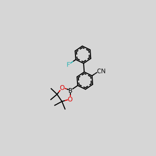 CC1(C)OB(c2ccc(C#N)c(-c3ccccc3F)c2)OC1(C)C